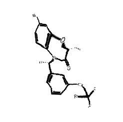 C[C@H]1Oc2cc(Br)ccc2N([C@@H](C)c2cccc(OC(F)(F)F)c2)C1=O